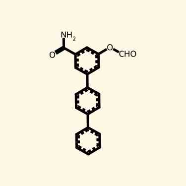 NC(=O)c1cc(OC=O)cc(-c2ccc(-c3ccccc3)cc2)c1